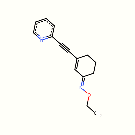 CCO/N=C1/C=C(C#Cc2ccccn2)CCC1